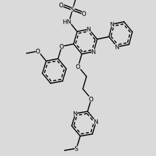 CCS(=O)(=O)Nc1nc(-c2ncccn2)nc(OCCOc2ncc(SC)cn2)c1Oc1ccccc1OC